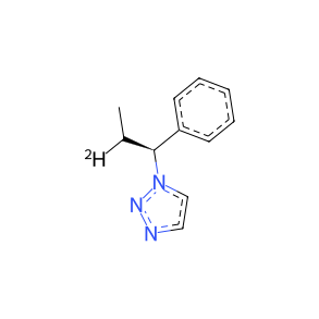 [2H]C(C)[C@@H](c1ccccc1)n1ccnn1